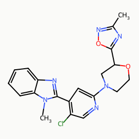 Cc1noc(C2CN(c3cc(-c4nc5ccccc5n4C)c(Cl)cn3)CCO2)n1